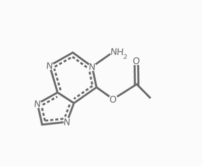 CC(=O)Oc1c2ncnc-2ncn1N